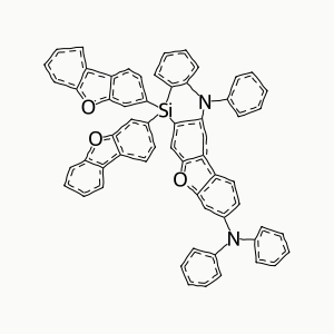 c1ccc(N(c2ccccc2)c2ccc3c(c2)oc2cc4c(cc23)N(c2ccccc2)c2ccccc2[Si]4(c2ccc3c(c2)oc2ccccc23)c2ccc3c(c2)oc2ccccc23)cc1